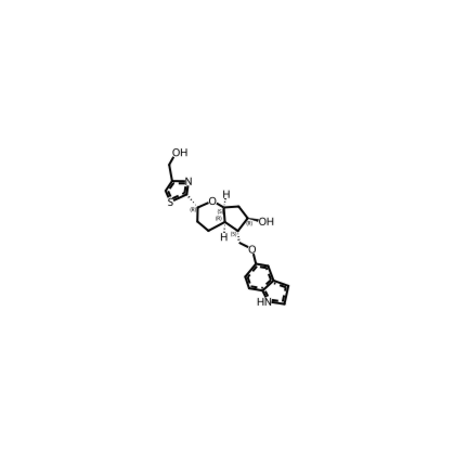 OCc1csc([C@H]2CC[C@@H]3[C@@H](COc4ccc5[nH]ccc5c4)[C@H](O)C[C@@H]3O2)n1